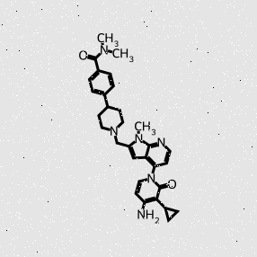 CN(C)C(=O)c1ccc(C2CCN(Cc3cc4c(-n5ccc(N)c(C6CC6)c5=O)ccnc4n3C)CC2)cc1